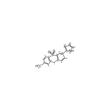 Cc1ccc2c(c1)Cc1ccc(-c3nnn[nH]3)cc1S2(=O)=O